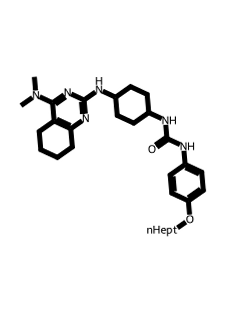 CCCCCCCOc1ccc(NC(=O)NC2CCC(Nc3nc4c(c(N(C)C)n3)CCCC4)CC2)cc1